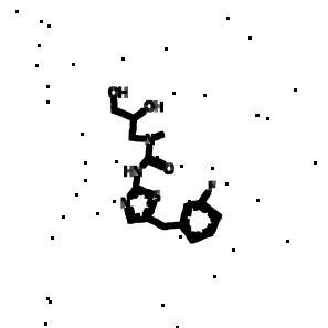 CN(CC(O)CO)C(=O)Nc1ncc(Cc2cccc(F)c2)s1